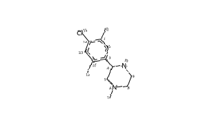 Cc1cc(C2CN(C)CC[N]2)c(C)cc1Cl